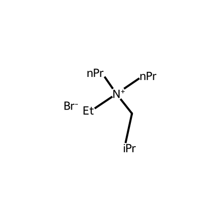 CCC[N+](CC)(CCC)CC(C)C.[Br-]